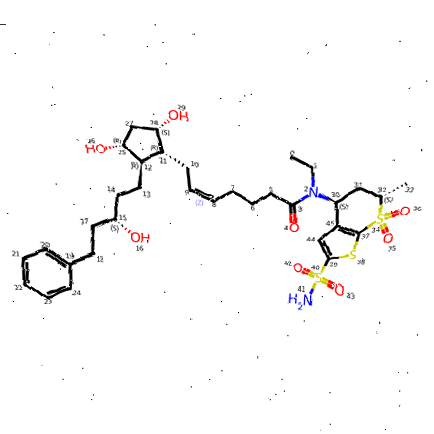 CCN(C(=O)CCC/C=C\C[C@@H]1[C@@H](CC[C@H](O)CCc2ccccc2)[C@H](O)C[C@@H]1O)[C@H]1C[C@H](C)S(=O)(=O)c2sc(S(N)(=O)=O)cc21